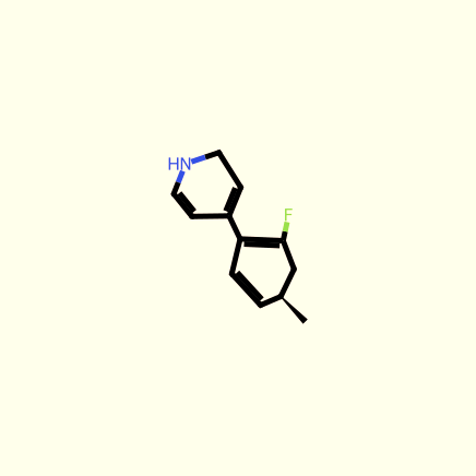 C[C@H]1C=CC(C2=CCNC=C2)=C(F)C1